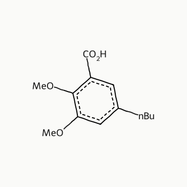 CCCCc1cc(OC)c(OC)c(C(=O)O)c1